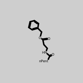 CCCCCC(=O)NCCC(=O)OCc1ccccc1